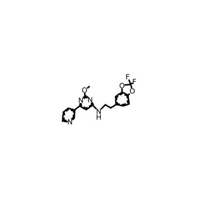 COc1nc(NCCc2ccc3c(c2)OC(F)(F)O3)cc(-c2cccnc2)n1